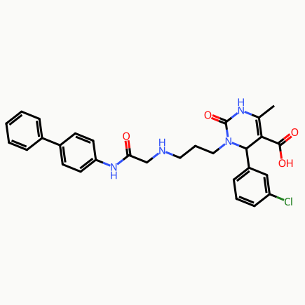 CC1=C(C(=O)O)C(c2cccc(Cl)c2)N(CCCNCC(=O)Nc2ccc(-c3ccccc3)cc2)C(=O)N1